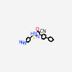 N#Cc1c(-c2ccc(-c3ccccc3)cc2)nc(SCc2ccc(N=[N+]=[N-])cc2)[nH]c1=O